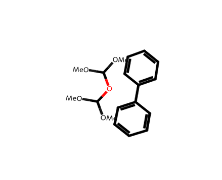 COC(OC)OC(OC)OC.c1ccc(-c2ccccc2)cc1